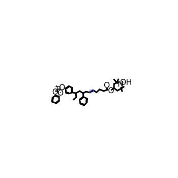 CCC(CC(C/C=C/CCCC(=O)OC1CC(C)(C)N(O)C(C)(C)C1)c1ccccc1)c1ccc(OP(C)(=O)Oc2ccccc2)cc1